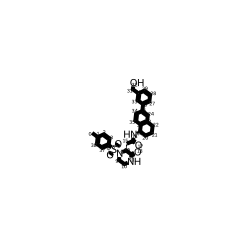 Cc1ccc(S(=O)(=O)N2CCNC(=O)[C@H]2CC(=O)N[C@@H]2CCCc3cc(-c4cccc(CO)c4)ccc32)cc1